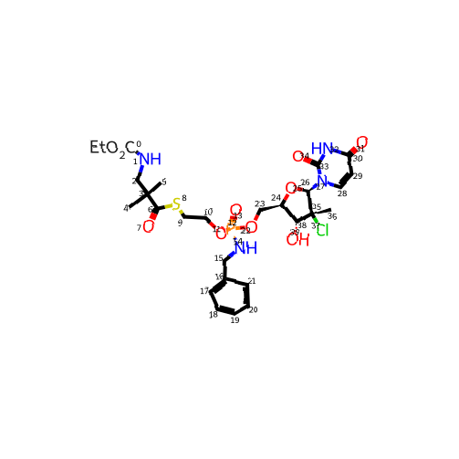 CCOC(=O)NCC(C)(C)C(=O)SCCO[P@](=O)(NCc1ccccc1)OC[C@H]1O[C@@H](n2ccc(=O)[nH]c2=O)[C@](C)(Cl)[C@@H]1O